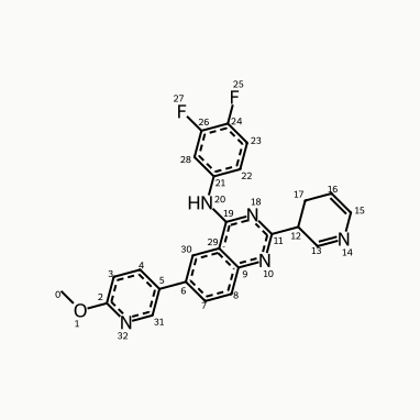 COc1ccc(-c2ccc3nc(C4C=NC=CC4)nc(Nc4ccc(F)c(F)c4)c3c2)cn1